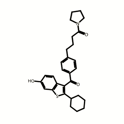 O=C(c1ccc(CCCC(=O)N2CCCC2)cc1)c1c(C2CCCCC2)sc2cc(O)ccc12